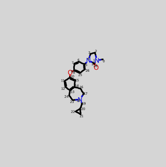 CN1CCN(c2ccc(Oc3ccc4c(c3)CCN(CC3CC3)CC4)cc2)C1=O